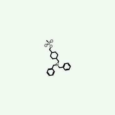 CS(=O)(=O)OCC1CCC(CN(Cc2ccccc2)Cc2ccccc2)CC1